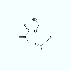 C=C(C)C#N.C=C(C)C(=O)OC(C)O